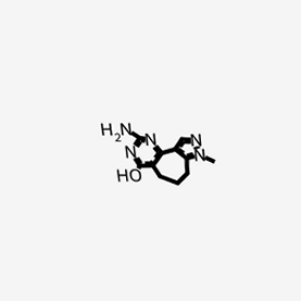 Cn1ncc2c1CCCc1c(O)nc(N)nc1-2